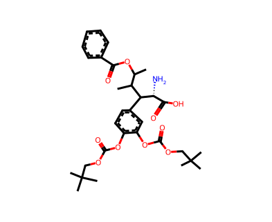 CC(OC(=O)c1ccccc1)C(C)C(c1ccc(OC(=O)OCC(C)(C)C)c(OC(=O)OCC(C)(C)C)c1)[C@H](N)C(=O)O